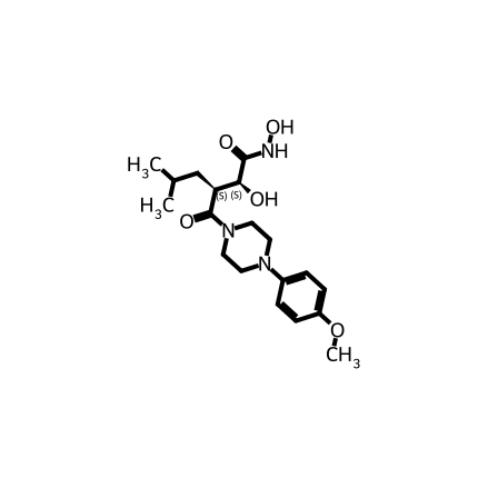 COc1ccc(N2CCN(C(=O)[C@@H](CC(C)C)[C@H](O)C(=O)NO)CC2)cc1